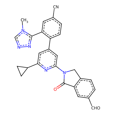 Cn1cnnc1-c1cc(C#N)ccc1-c1cc(C2CC2)nc(N2Cc3ccc(C=O)cc3C2=O)c1